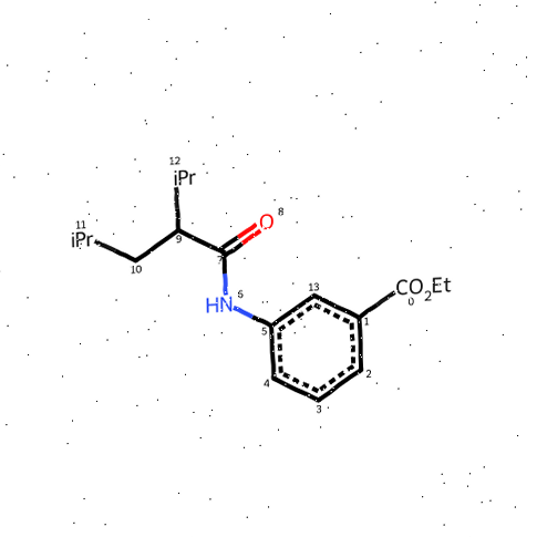 CCOC(=O)c1cccc(NC(=O)C(CC(C)C)C(C)C)c1